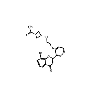 O=c1cc(-c2ccccc2OCCO[C@H]2C[C@H](C(=O)O)C2)oc2c(Br)cccc12